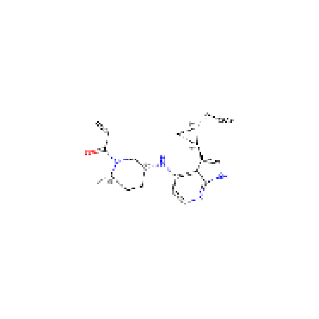 C=CC(=O)N1C[C@H](Nc2ccnc3[nH]cc([C@H]4C[C@@H]4COC)c23)CC[C@@H]1C